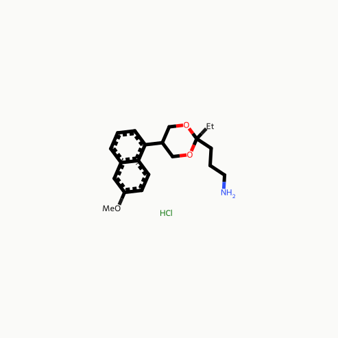 CCC1(CCCN)OCC(c2cccc3cc(OC)ccc23)CO1.Cl